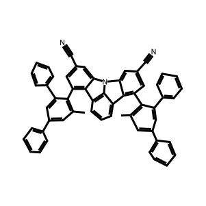 Cc1cc(-c2ccccc2)cc(-c2ccccc2)c1-c1cc(C#N)cc2c1c1cccc3c4c(-c5c(C)cc(-c6ccccc6)cc5-c5ccccc5)cc(C#N)cc4n2c13